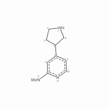 CNc1cc(C2CCNC2)ccn1